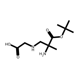 CC(C)(C)OC(=O)C(C)(N)CNCC(=O)O